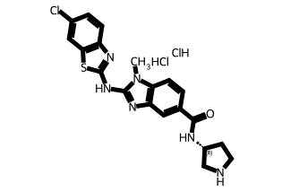 Cl.Cl.Cn1c(Nc2nc3ccc(Cl)cc3s2)nc2cc(C(=O)N[C@@H]3CCNC3)ccc21